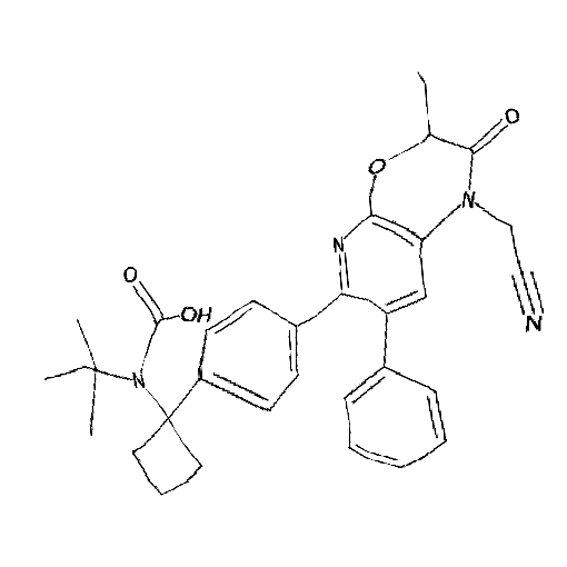 CC1Oc2nc(-c3ccc(C4(N(C(=O)O)C(C)(C)C)CCC4)cc3)c(-c3ccccc3)cc2N(CC#N)C1=O